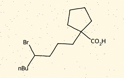 CCCCC(Br)CCCC1(C(=O)O)CCCC1